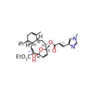 CCOC(=O)/C1=C/[C@@H]2[C@@H](C(C)C)CC=C(C)[C@@H]2C[C@H](OC(=O)/C=C/c2cn(C)cn2)[C@]2(C)C=C[C@@]1(O)O2